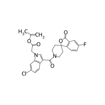 C=C(C)OC(=O)Cn1cc(C(=O)N2CCC3(CC2)OC(=O)c2cc(F)ccc23)c2ccc(Cl)cc21